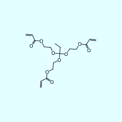 C=CC(=O)OCCOC(CC)(OCCOC(=O)C=C)OCCOC(=O)C=C